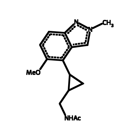 COc1ccc2nn(C)cc2c1C1CC1CNC(C)=O